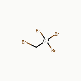 Br[CH2][Ge]([Br])([Br])[Br]